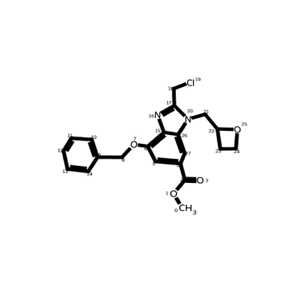 COC(=O)c1cc(OCc2ccccc2)c2nc(CCl)n(CC3CCO3)c2c1